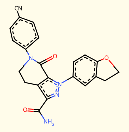 N#Cc1ccc(N2CCc3c(C(N)=O)nn(-c4ccc5c(c4)CCO5)c3C2=O)cc1